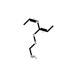 C/C=N\C(=C/C)SSCN